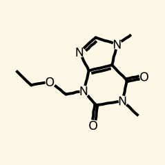 CCOCn1c(=O)n(C)c(=O)c2c1ncn2C